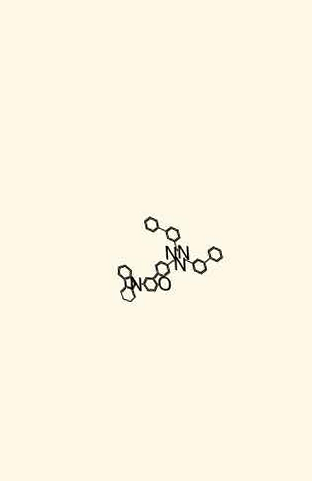 C1=c2c(n(-c3ccc4oc5cc(-c6nc(-c7cccc(-c8ccccc8)c7)nc(-c7cccc(-c8ccccc8)c7)n6)ccc5c4c3)c3ccccc23)=CCC1